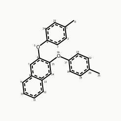 Cc1ccc(Oc2cc3ccccc3cc2Oc2ccc(C)cc2)cc1